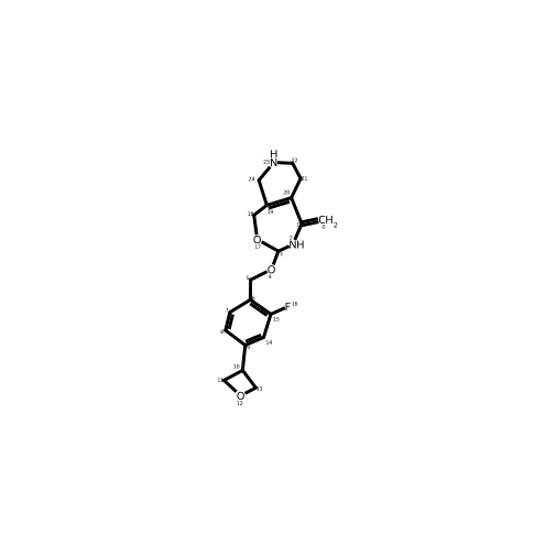 C=C1NC(OCc2ccc(C3COC3)cc2F)OCC2=C1CCNC2